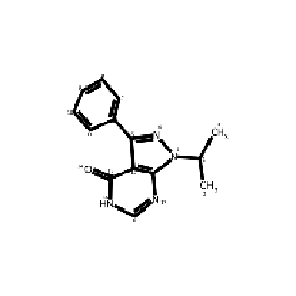 CC(C)n1nc(-c2ccccc2)c2c(=O)[nH]cnc21